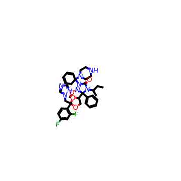 CCC(C)N1C(=O)N(C2(N3CCNCC3)C=CC=CC2)N(OC)C1(c1ccccc1)C1COC(Cn2cncn2)(c2ccc(F)cc2F)O1